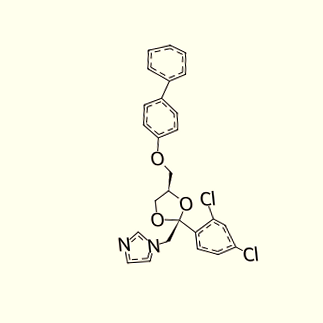 Clc1ccc([C@]2(Cn3ccnc3)OC[C@@H](COc3ccc(-c4ccccc4)cc3)O2)c(Cl)c1